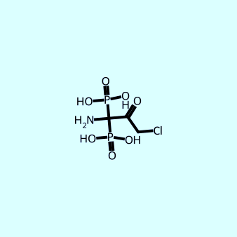 NC(C(=O)CCl)(P(=O)(O)O)P(=O)(O)O